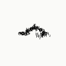 CCCC(C)(Oc1ccc(/C=N/N(C)[PH](=S)C(C)(CCC)Oc2ccc(/C=N/N(C)[PH](=S)C(C)(C)Oc3ccc(C=O)cc3)cc2)cc1)P(N)P(N)PN